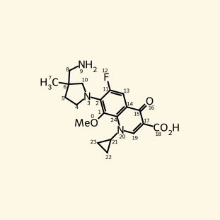 COc1c(N2CCC(C)(CN)C2)c(F)cc2c(=O)c(C(=O)O)cn(C3CC3)c12